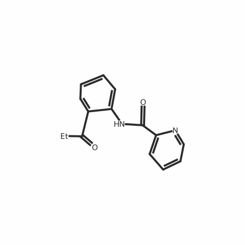 CCC(=O)c1ccccc1NC(=O)c1ccccn1